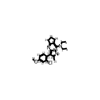 CCN(CC)c1c2c(nc3c(-c4ccc(OC)cc4Cl)c(C)nn13)CCC2